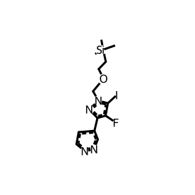 C[Si](C)(C)CCOCn1nc(-c2ccnnc2)c(F)c1I